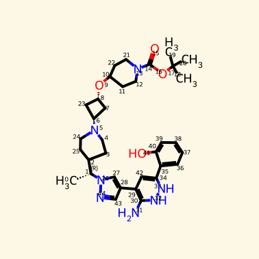 C[C@H](C1CCN([C@H]2C[C@@H](OC3CCN(C(=O)OC(C)(C)C)CC3)C2)CC1)n1cc(C2=C(N)NNC(c3ccccc3O)=C2)cn1